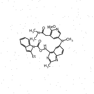 CCc1cc2ccccc2n1C(=O)ONc1nc(C)nc2ccc(N(C)c3cnc(OC)c(CC(=O)N(C)C)c3)cc12